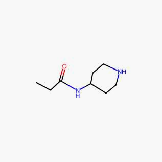 CCC(=O)NC1CCNCC1